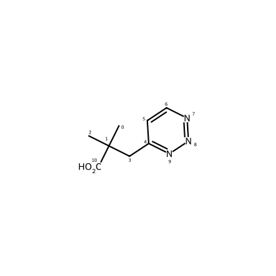 CC(C)(Cc1ccnnn1)C(=O)O